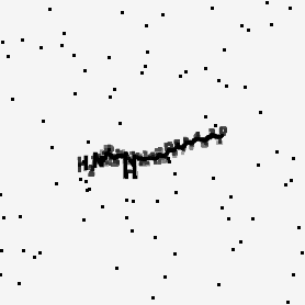 CCCCCCCCCCCCCCCCCNCCCCN